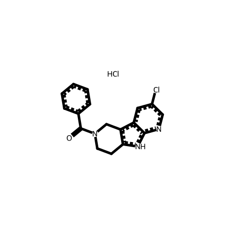 Cl.O=C(c1ccccc1)N1CCc2[nH]c3ncc(Cl)cc3c2C1